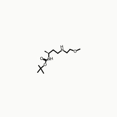 COCCNCC[C@H](C)NC(=O)OC(C)(C)C